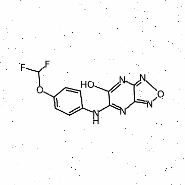 Oc1nc2nonc2nc1Nc1ccc(OC(F)F)cc1